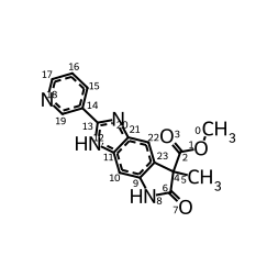 COC(=O)C1(C)C(=O)Nc2cc3[nH]c(-c4cccnc4)nc3cc21